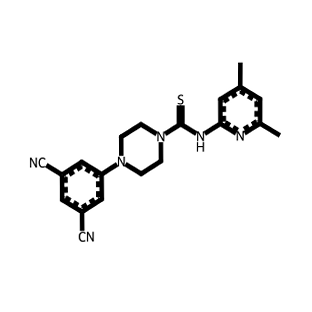 Cc1cc(C)nc(NC(=S)N2CCN(c3cc(C#N)cc(C#N)c3)CC2)c1